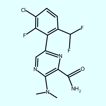 CN(C)c1ncc(-c2c(C(F)F)ccc(Cl)c2F)nc1C(N)=O